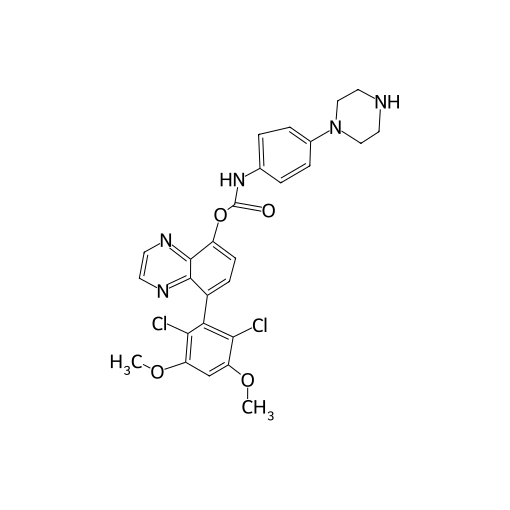 COc1cc(OC)c(Cl)c(-c2ccc(OC(=O)Nc3ccc(N4CCNCC4)cc3)c3nccnc23)c1Cl